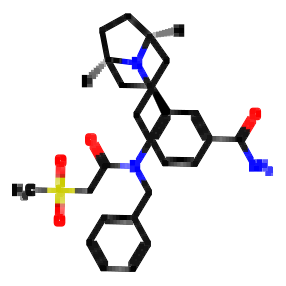 CS(=O)(=O)CC(=O)N(CCCN1[C@@H]2CC[C@H]1C[C@@H](c1cccc(C(N)=O)c1)C2)Cc1ccccc1